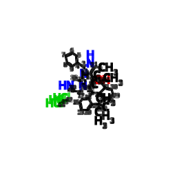 Cc1[nH]c(-c2ccccc2)nc1C(O)C(C(c1ccccc1C(C)(C)C)c1ccccc1C(C)(C)C)N1CCNCC1.Cl.Cl.Cl